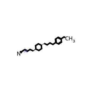 CCc1ccc(CCCC[C@H]2CC[C@H](CC/C=C/C#N)CC2)cc1